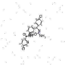 CO/C(N)=N\C(c1ccc(Cl)cc1)c1cccc(NC(=O)c2ccc(Cl)cn2)c1